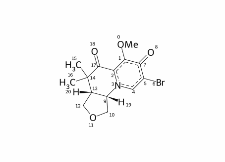 COc1c2n(cc(Br)c1=O)[C@@H]1COC[C@@H]1C(C)(C)C2=O